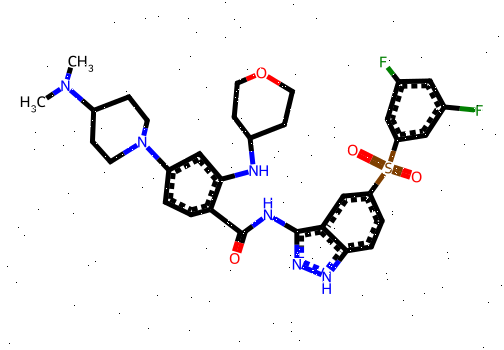 CN(C)C1CCN(c2ccc(C(=O)Nc3n[nH]c4ccc(S(=O)(=O)c5cc(F)cc(F)c5)cc34)c(NC3CCOCC3)c2)CC1